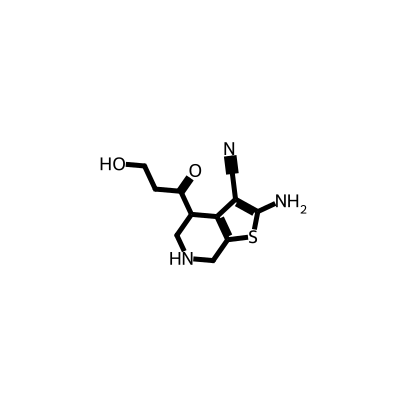 N#Cc1c(N)sc2c1C(C(=O)CCO)CNC2